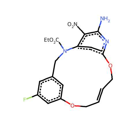 CCOC(=O)N1Cc2cc(F)cc(c2)OC/C=C/COc2cc1c([N+](=O)[O-])c(N)n2